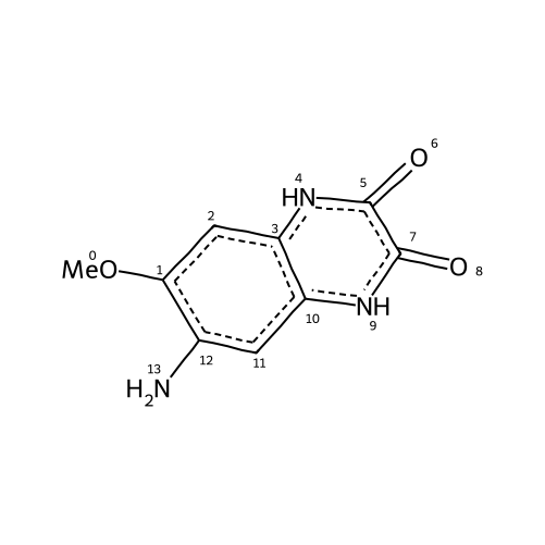 COc1cc2[nH]c(=O)c(=O)[nH]c2cc1N